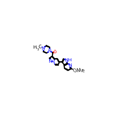 COc1ccc2c(-c3ccn4ncc(C(=O)N5CCN(C)CC5)c4c3)c[nH]c2n1